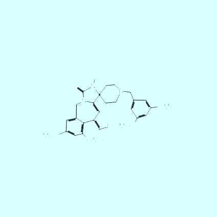 CCC=C1C=C2N(Cc3cc(OC)cc(OC)c31)C(=O)N(CC)C21CCN(Cc2cc(OC)cc(OC)c2)CC1